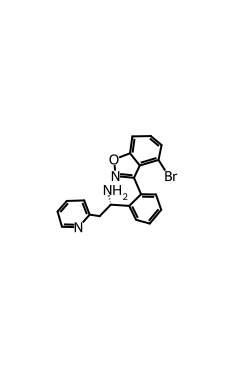 N[C@@H](Cc1ccccn1)c1ccccc1-c1noc2cccc(Br)c12